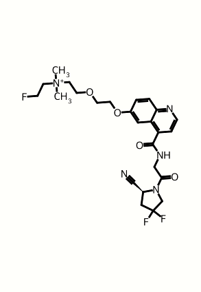 C[N+](C)(CCF)CCOCCOc1ccc2nccc(C(=O)NCC(=O)N3CC(F)(F)C[C@H]3C#N)c2c1